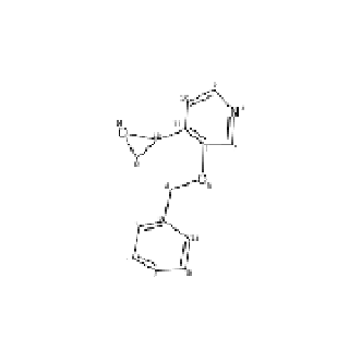 c1ccc(COc2cnccc2C2CO2)cc1